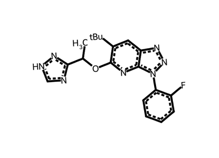 CC(Oc1nc2c(cc1C(C)(C)C)nnn2-c1ccccc1F)c1nc[nH]n1